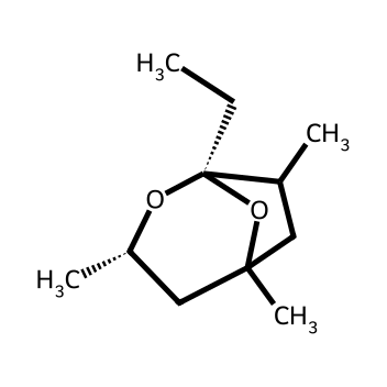 CC[C@]12O[C@@H](C)CC(C)(CC1C)O2